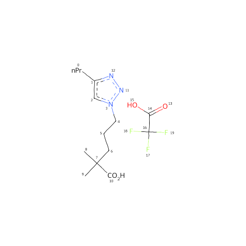 CCCc1cn(CCCC(C)(C)C(=O)O)nn1.O=C(O)C(F)(F)F